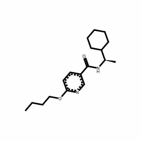 CCCCOc1ccc(C(=O)N[C@H](C)C2CCCCC2)cn1